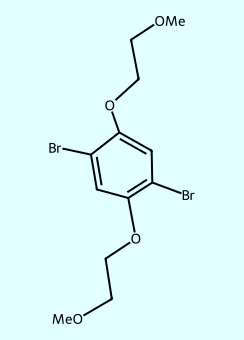 COCCOc1cc(Br)c(OCCOC)cc1Br